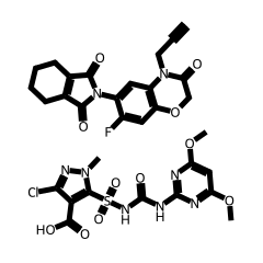 C#CCN1C(=O)COc2cc(F)c(N3C(=O)C4=C(CCCC4)C3=O)cc21.COc1cc(OC)nc(NC(=O)NS(=O)(=O)c2c(C(=O)O)c(Cl)nn2C)n1